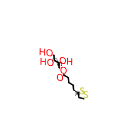 O=C(CCCC[C@@H]1CCSS1)OC[C@@H](O)[C@@H](O)CO